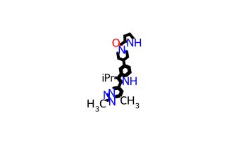 Cc1nc2c(C)cc(-c3[nH]c4ccc(C5CCN(C(=O)C6CCCN6)CC5)cc4c3C(C)C)cn2n1